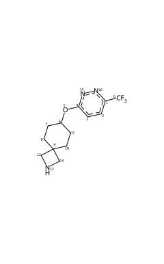 FC(F)(F)c1ccc(OC2CCC3(CC2)CNC3)nn1